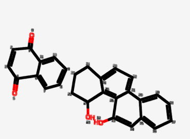 O=C1C=CC(=O)c2ccccc21.Oc1cc2ccccc2c2ccc3c(c12)C(O)CCC3